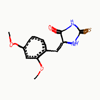 COc1ccc(C=C2NC(=S)NC2=O)c(OC)c1